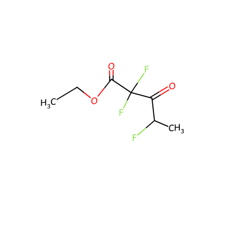 CCOC(=O)C(F)(F)C(=O)C(C)F